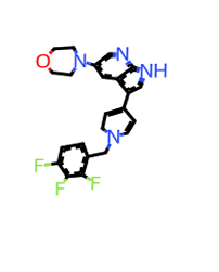 Fc1ccc(CN2C=CC(c3c[nH]c4ncc(N5CCOCC5)cc34)=CC2)c(F)c1F